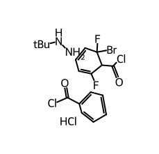 CC(C)(C)NN.Cl.O=C(Cl)C1C(F)=CC=CC1(F)Br.O=C(Cl)c1ccccc1